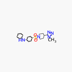 Cn1cnnc1C1CCN(S(=O)(=O)c2ccc(Nc3ccccc3)cc2)CC1